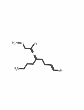 CCCC=CCCC(=C=C(CON)C(C)C)CCCN